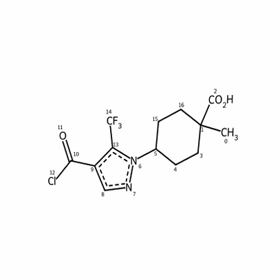 CC1(C(=O)O)CCC(n2ncc(C(=O)Cl)c2C(F)(F)F)CC1